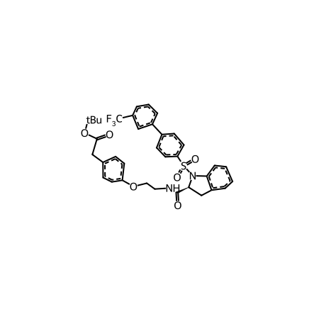 CC(C)(C)OC(=O)Cc1ccc(OCCNC(=O)[C@@H]2Cc3ccccc3N2S(=O)(=O)c2ccc(-c3cccc(C(F)(F)F)c3)cc2)cc1